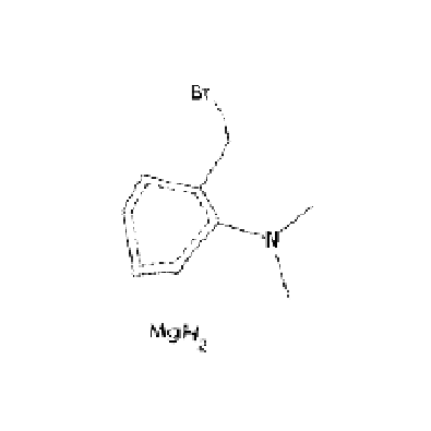 CN(C)c1ccccc1CBr.[MgH2]